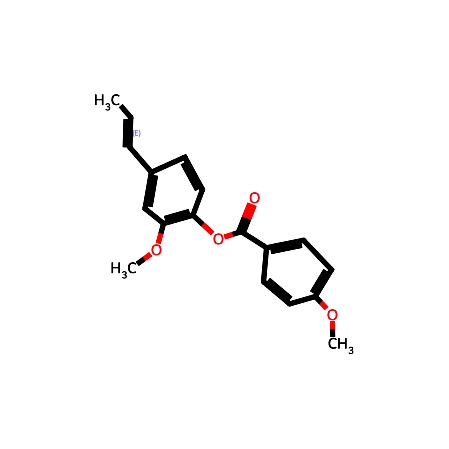 C/C=C/c1ccc(OC(=O)c2ccc(OC)cc2)c(OC)c1